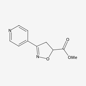 COC(=O)C1CC(c2ccncc2)=NO1